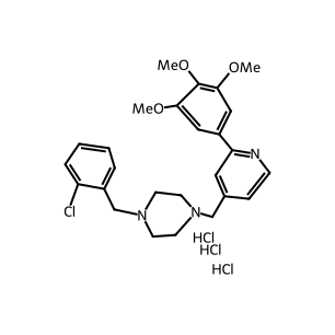 COc1cc(-c2cc(CN3CCN(Cc4ccccc4Cl)CC3)ccn2)cc(OC)c1OC.Cl.Cl.Cl